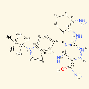 [2H]C([2H])([2H])C([2H])([2H])n1ccc2c(Nc3nc(N[C@@H]4CCCC[C@@H]4N)nnc3C(N)=O)cccc21